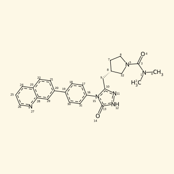 CN(C)C(=O)N1CC[C@@H](Cc2n[nH]c(=O)n2-c2ccc(-c3ccc4cccnc4c3)cc2)C1